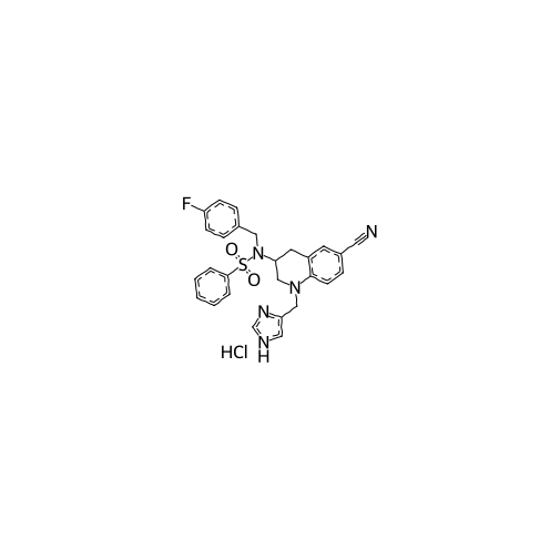 Cl.N#Cc1ccc2c(c1)CC(N(Cc1ccc(F)cc1)S(=O)(=O)c1ccccc1)CN2Cc1c[nH]cn1